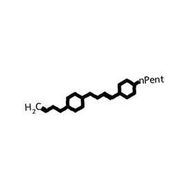 C=CCCC1CCC(CCC=CC2CCC(CCCCC)CC2)CC1